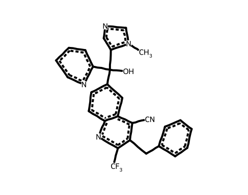 Cn1cncc1C(O)(c1ccc2nc(C(F)(F)F)c(Cc3ccccc3)c(C#N)c2c1)c1ccccn1